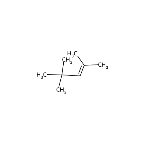 CC(C)=CC(C)(C)C